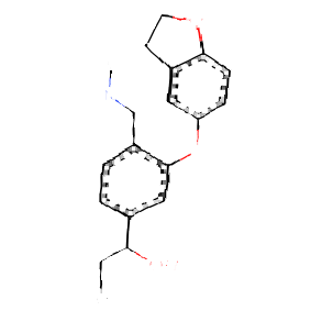 CCC(O)c1ccc(CNC)c(Oc2ccc3c(c2)CCO3)c1